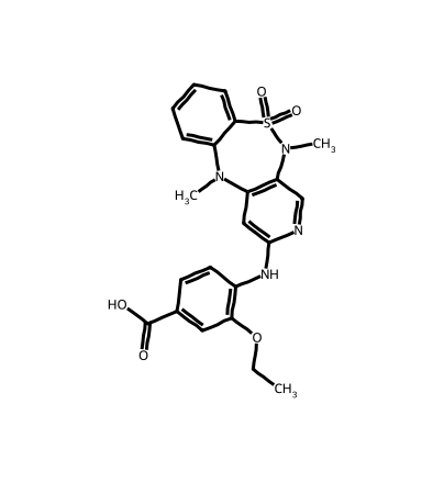 CCOc1cc(C(=O)O)ccc1Nc1cc2c(cn1)N(C)S(=O)(=O)c1ccccc1N2C